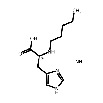 CCCCCN[C@@H](Cc1c[nH]cn1)C(=O)O.N